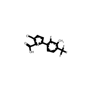 Cc1c(C(F)(F)F)ccc(-c2ccc(Cl)c(C(=O)O)n2)c1F